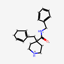 O=C(NCc1ccccc1)C1(CC2=CCCC=C2)CCNCC1